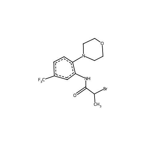 CC(Br)C(=O)Nc1cc(C(F)(F)F)ccc1N1CCOCC1